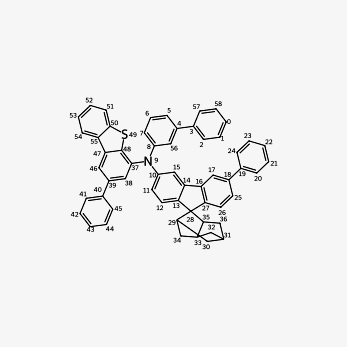 c1ccc(-c2cccc(N(c3ccc4c(c3)-c3cc(-c5ccccc5)ccc3C43C4CC5CC(C4)C3C5)c3cc(-c4ccccc4)cc4c3sc3ccccc34)c2)cc1